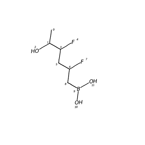 CC(O)C(F)CC(F)CB(O)O